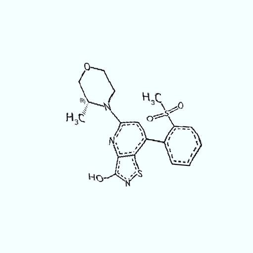 C[C@@H]1COCCN1c1cc(-c2ccccc2S(C)(=O)=O)c2snc(O)c2n1